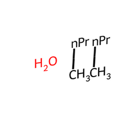 CCCC.CCCC.O